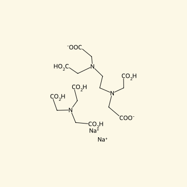 O=C(O)CN(CC(=O)O)CC(=O)O.O=C([O-])CN(CCN(CC(=O)[O-])CC(=O)O)CC(=O)O.[Na+].[Na+]